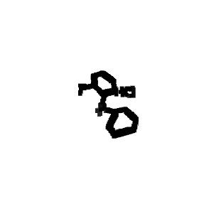 Cl.Fc1ccccc1[P]c1ccccc1